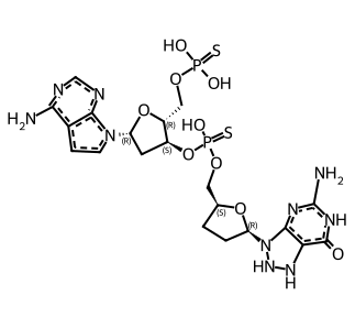 Nc1nc2c(c(=O)[nH]1)NNN2[C@H]1CC[C@@H](COP(O)(=S)O[C@H]2C[C@H](n3ccc4c(N)ncnc43)O[C@@H]2COP(O)(O)=S)O1